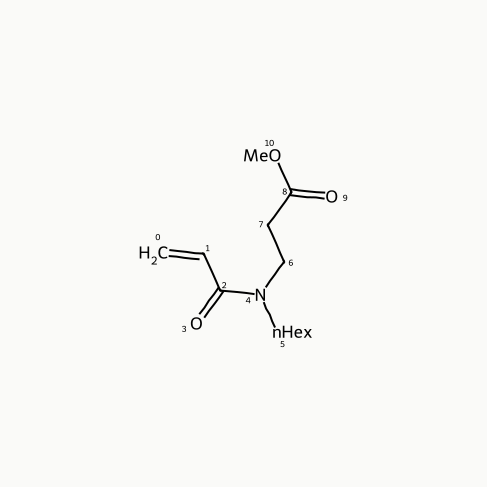 C=CC(=O)N(CCCCCC)CCC(=O)OC